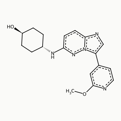 COc1cc(-c2cnc3ccc(N[C@H]4CC[C@H](O)CC4)nn23)ccn1